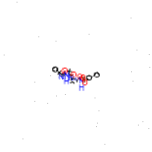 CN[C@H](C(=O)NC(C(=O)N(C)[C@H](/C=C(\C)C(=O)NS(=O)(=O)c1ccc(-c2ccccc2)cc1)C(C)C)C(C)(C)C)C(C)(C)c1ccccc1